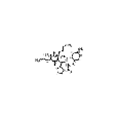 CCCCC(C)(C)[C@H](NC(=O)OC(C)C)C(=S)N1CCC[C@H]1C(=O)NCC1CCC(N)CC1